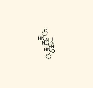 O=C(Nc1ncc(I)c2nc(NC3CCOCC3)ncc12)c1ccccc1